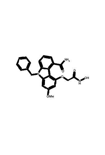 COc1cc(OCC(=O)NO)c2c3c(C(N)=O)cccc3n(Cc3ccccc3)c2c1